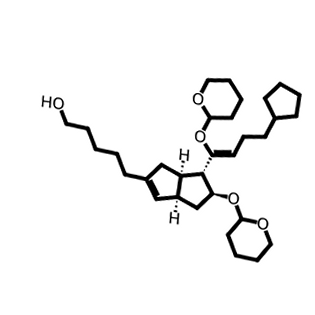 OCCCCCC1=C[C@@H]2C[C@H](OC3CCCCO3)[C@@H](C(=CCCC3CCCC3)OC3CCCCO3)[C@@H]2C1